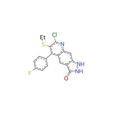 CCSc1c(Cl)nc2cc3[nH][nH]c(=O)c3cc2c1-c1ccc(F)cc1